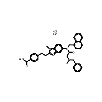 CN(CC(=O)N(Cc1cccc2ccccc12)c1ccc2c(c1)nc(CCc1ccc(C(=N)N)cc1)n2C)Cc1ccccc1.Cl.Cl